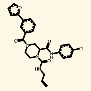 C=CCNC(=O)N1CCN(C(=O)c2cccc(-c3ccco3)c2)CC1C(=O)Nc1ccc(Cl)cc1